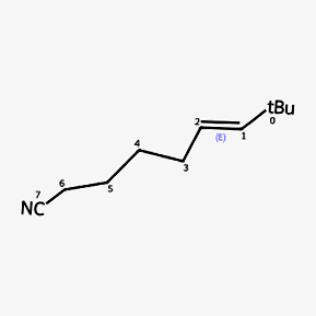 CC(C)(C)/C=C/CCCCC#N